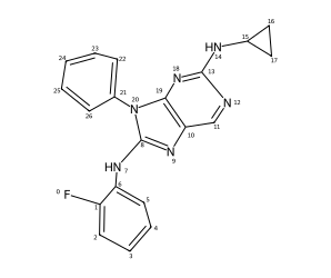 Fc1ccccc1Nc1nc2cnc(NC3CC3)nc2n1-c1ccccc1